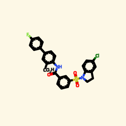 O=C(Nc1ccc(-c2ccc(F)cc2)cc1C(=O)O)c1cccc(S(=O)(=O)N2CCc3cc(Cl)ccc32)c1